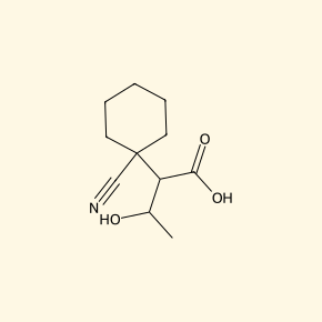 CC(O)C(C(=O)O)C1(C#N)CCCCC1